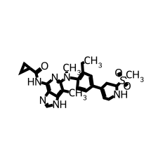 CCc1cc(C2=CCNC(S(C)(=O)=O)C2)ccc1N(C)c1nc(NC(=O)C2CC2)c2nc[nH]c2c1C